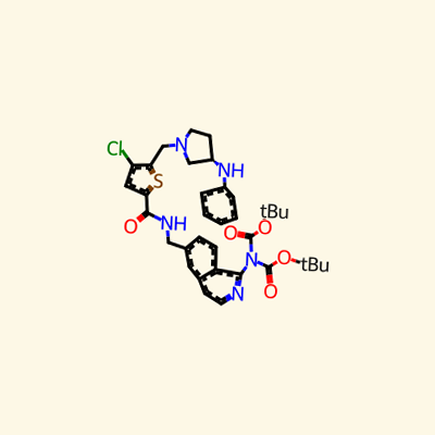 CC(C)(C)OC(=O)N(C(=O)OC(C)(C)C)c1nccc2cc(CNC(=O)c3cc(Cl)c(CN4CC[C@@H](Nc5ccccc5)C4)s3)ccc12